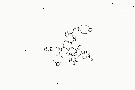 CCN(c1cc2oc(CN3CCOCC3)nc2c(C(=O)OC(C)(C)C)c1C)C1CCOCC1